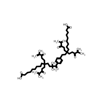 C=C(C)C(=O)CCC(CCCCCCCCC(=O)O)(CCC(=O)C(=C)C)CCc1ccc(C(=O)C(C)(C)CCC(CCCCCCCCC(=O)O)(CCC(=O)C(=C)C)CCC(=O)C(=C)C)cc1